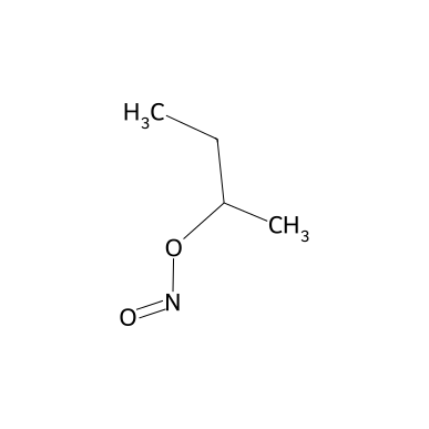 CCC(C)ON=O